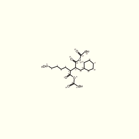 CCCCCCCCCCCCCCC(C(=O)OC(=O)C(C)(C)C)C(CC1CCCCC1)C(=O)OC(=O)C(C)(C)C